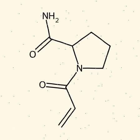 C=CC(=O)N1CCCC1C(N)=O